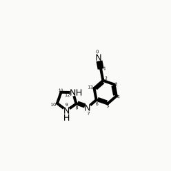 N#Cc1cccc(N=C2NCCN2)c1